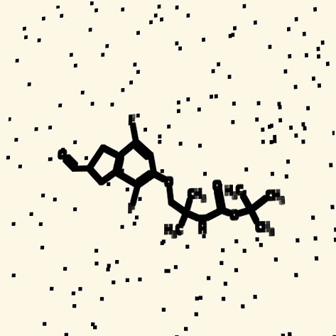 CC(C)(COc1cc(F)c2c(c1F)CC(C=O)C2)NC(=O)OC(C)(C)C